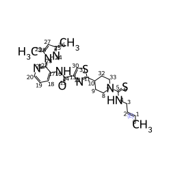 C/C=C/CNC(=S)N1CCC(c2nc(C(=O)Nc3cccnc3-n3nc(C)cc3C)cs2)CC1